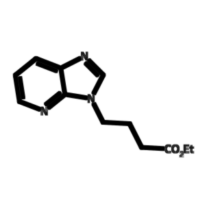 CCOC(=O)CCCn1cnc2cccnc21